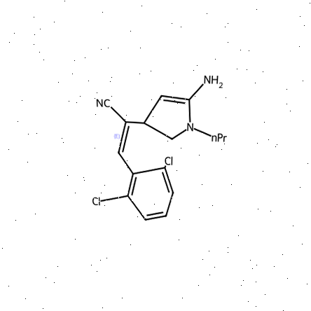 CCCN1CC(/C(C#N)=C\c2c(Cl)cccc2Cl)C=C1N